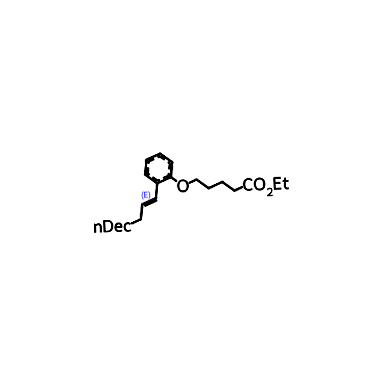 CCCCCCCCCCC/C=C/c1ccccc1OCCCCC(=O)OCC